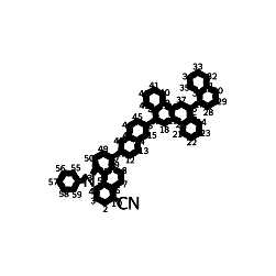 N#Cc1ccc2c3c1ccc1c(-c4ccc5cc(-c6cc7c8ccccc8c(-c8cccc9ccccc89)cc7c7ccccc67)ccc5c4)ccc(c13)n2-c1ccccc1